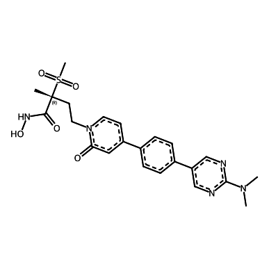 CN(C)c1ncc(-c2ccc(-c3ccn(CC[C@](C)(C(=O)NO)S(C)(=O)=O)c(=O)c3)cc2)cn1